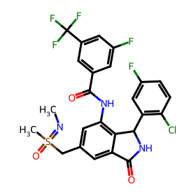 CN=S(C)(=O)Cc1cc(NC(=O)c2cc(F)cc(C(F)(F)F)c2)c2c(c1)C(=O)NC2c1cc(F)ccc1Cl